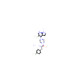 N[C@H](Cc1ccc(Cl)cc1)C(=O)N1CCN(c2c(Br)cnc3[nH]ccc23)CC1